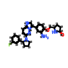 Nc1cc(-c2cnc3ccc(N4CCCC4c4cccc(F)c4)nn23)ccc1OC[C@H]1CCC(=O)N1